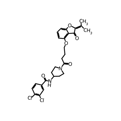 CC(C)=C1Oc2cccc(OCCCC(=O)N3CCC(NC(=O)c4ccc(Cl)c(Cl)c4)CC3)c2C1=O